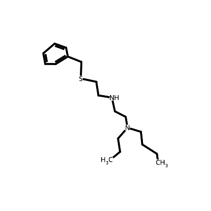 CCCCN(CCC)CCNCCSCc1ccccc1